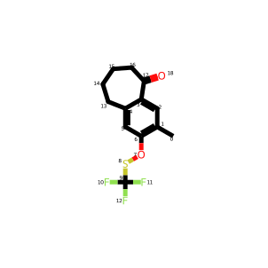 Cc1cc2c(cc1OSC(F)(F)F)CCCCC2=O